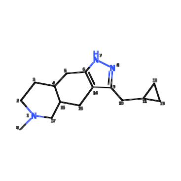 CN1CCC2Cc3[nH]nc(CC4CC4)c3CC2C1